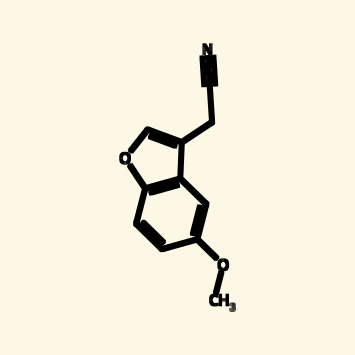 COc1ccc2occ(CC#N)c2c1